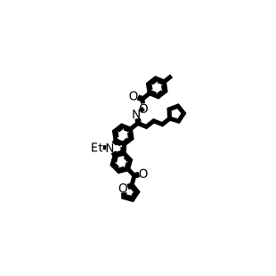 CCn1c2ccc(C(=O)c3ccco3)cc2c2cc(/C(CCCC3CCCC3)=N/OC(=O)c3ccc(C)cc3)ccc21